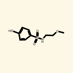 COCCNS(=O)(=O)c1c[c]c(O)cc1